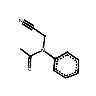 CC(=O)N(CC#N)c1ccccc1